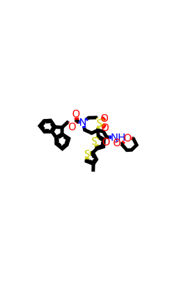 Cc1csc(-c2ccc(C3(CC(=O)NOC4CCCCO4)CCN(C(=O)OCC4c5ccccc5-c5ccccc54)CCS3(=O)=O)s2)c1